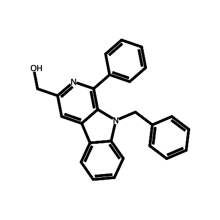 OCc1cc2c3ccccc3n(Cc3ccccc3)c2c(-c2ccccc2)n1